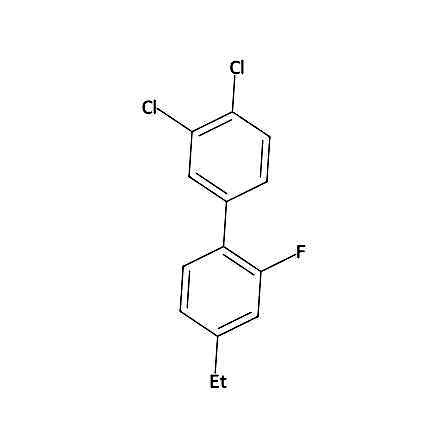 CCc1ccc(-c2ccc(Cl)c(Cl)c2)c(F)c1